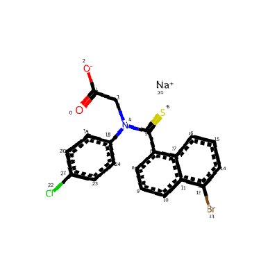 O=C([O-])CN(C(=S)c1cccc2c(Br)cccc12)c1ccc(Cl)cc1.[Na+]